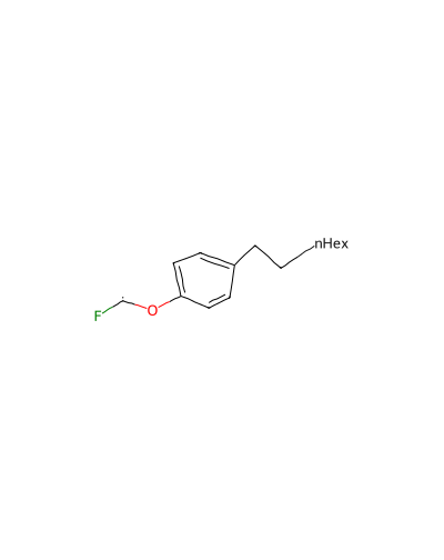 CCCCCCCCc1ccc(O[CH]F)cc1